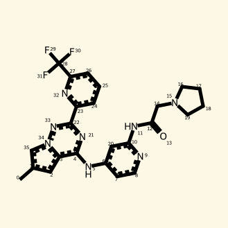 Cc1cc2c(Nc3ccnc(NC(=O)CN4CCCC4)c3)nc(-c3cccc(C(F)(F)F)n3)nn2c1